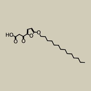 CCCCCCCCCCCCCCOc1ccc(C(=O)CC(=O)O)o1